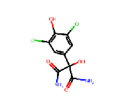 NC(=O)C(O)(C(N)=O)c1cc(Cl)c(O)c(Cl)c1